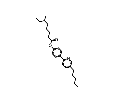 CCCCCc1ccc(-c2ccc(OC(=O)CCCCC(C)CC)cc2)nc1